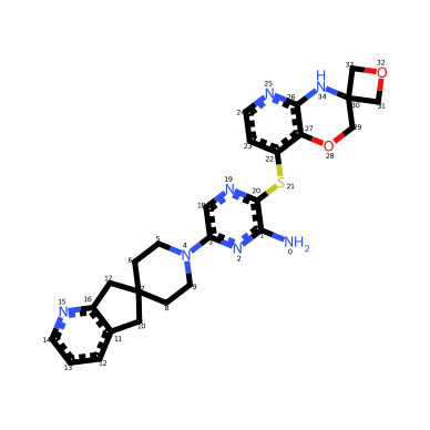 Nc1nc(N2CCC3(CC2)Cc2cccnc2C3)cnc1Sc1ccnc2c1OCC1(COC1)N2